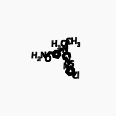 CC(C)CN(Cc1cccc(CC(N)=O)c1)C1CCN(c2nc3ccc(Cl)cc3s2)CC1